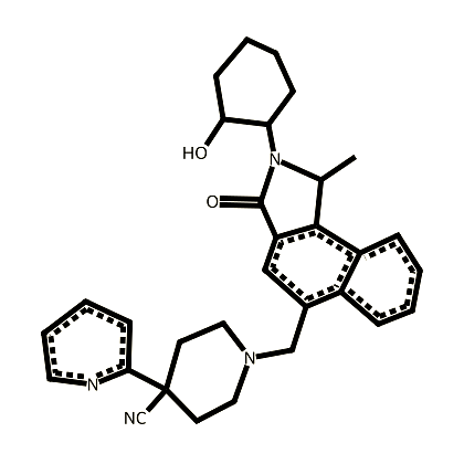 CC1c2c(cc(CN3CCC(C#N)(c4ccccn4)CC3)c3ccccc23)C(=O)N1C1CCCCC1O